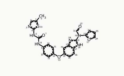 Cc1cnc(NC(=O)Nc2ccc(Oc3ccc4[nH]c(N(C=O)c5ccco5)nc4c3)cc2)s1